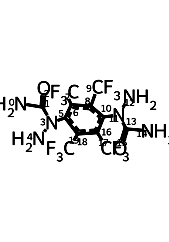 NC(=O)N(N)c1c(C(F)(F)F)c(C(F)(F)F)c(N(N)C(N)=O)c(C(F)(F)F)c1C(F)(F)F